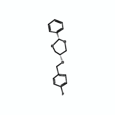 Fc1ccc(CO[C@H]2CO[C@@H](c3ccccc3)OC2)cc1